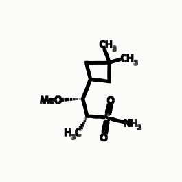 CO[C@H](C1CC(C)(C)C1)[C@@H](C)S(N)(=O)=O